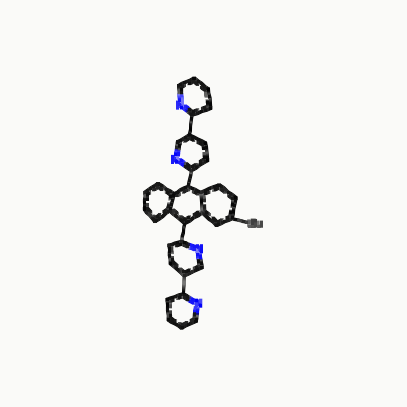 CC(C)(C)c1ccc2c(-c3ccc(-c4ccccn4)cn3)c3ccccc3c(-c3ccc(-c4ccccn4)cn3)c2c1